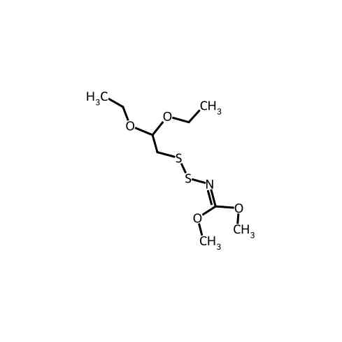 CCOC(CSSN=C(OC)OC)OCC